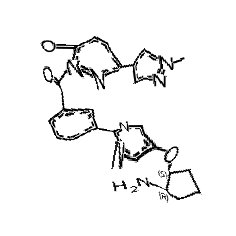 Cn1cc(-c2ccc(=O)n(C(=O)c3cccc(-c4ncc(O[C@H]5CCC[C@H]5N)cn4)c3)n2)cn1